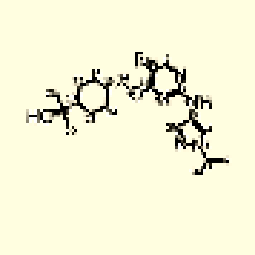 CC(C)n1cc(Nc2ncc(F)c(OC[C@H]3CC[C@H](C(C)(C)O)CC3)n2)cn1